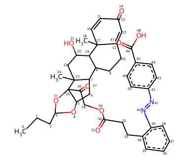 CCCC1OC2CC3C4CCC5=CC(=O)C=CC5(C)C4C(O)CC3(C)C2(C(=O)COC(=O)CCc2ccccc2/N=N/c2ccc(C(=O)O)cc2)O1